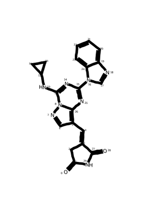 O=C1C/C(=C\c2cnn3c(NC4CC4)nc(-n4cnc5ccccc54)nc23)C(=O)N1